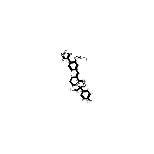 COc1cc(/C=C2\CCCN3C2=NOC3(CO)c2ccc(F)cc2)ccc1-c1cnoc1